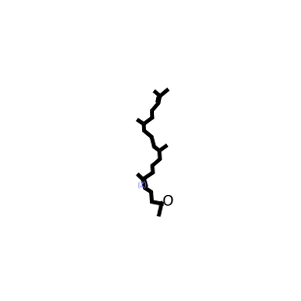 CC(=O)CC/C=C(/C)CCCC(C)CCCC(C)CCC=C(C)C